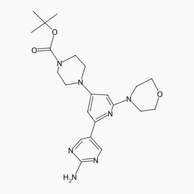 CC(C)(C)OC(=O)N1CCN(c2cc(-c3cnc(N)nc3)nc(N3CCOCC3)c2)CC1